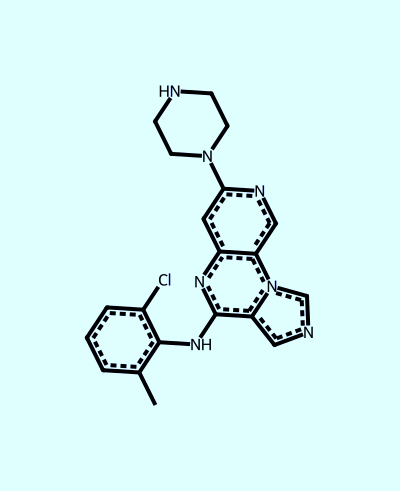 Cc1cccc(Cl)c1Nc1nc2cc(N3CCNCC3)ncc2n2cncc12